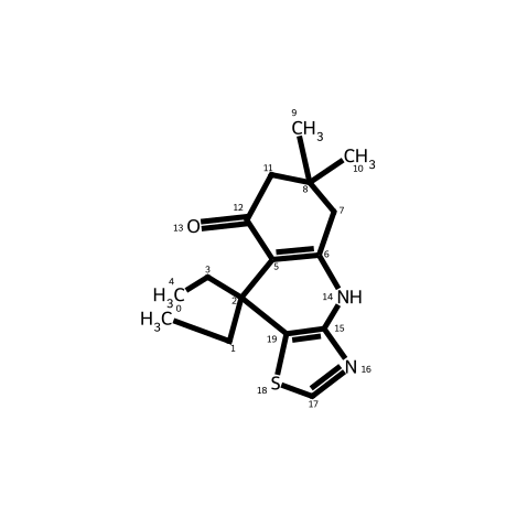 CCC1(CC)C2=C(CC(C)(C)CC2=O)Nc2ncsc21